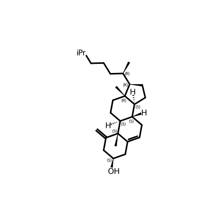 C=C1C[C@H](O)CC2=CC[C@@H]3[C@H](CC[C@]4(C)[C@@H]([C@H](C)CCCC(C)C)CC[C@@H]34)[C@@]12C